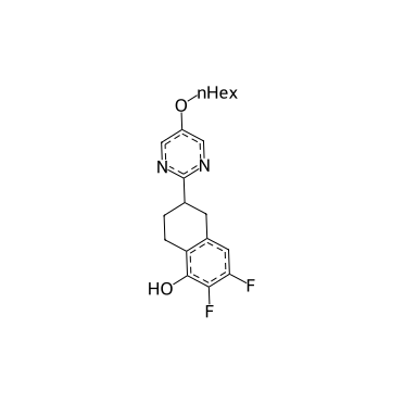 CCCCCCOc1cnc(C2CCc3c(cc(F)c(F)c3O)C2)nc1